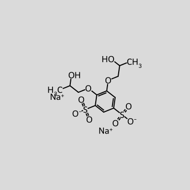 CC(O)COc1cc(S(=O)(=O)[O-])cc(S(=O)(=O)[O-])c1OCC(C)O.[Na+].[Na+]